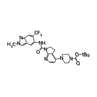 Cn1cc2cc(NC(=O)N3CCc4c(N5CCN(C(=O)OC(C)(C)C)CC5)ccnc43)c(C(F)(F)F)cc2n1